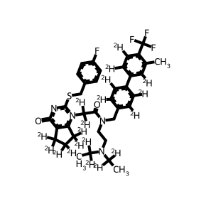 [2H]c1c([2H])c(-c2c([2H])c([2H])c(C(F)(F)F)c(C)c2[2H])c([2H])c([2H])c1CN(CCN(C([2H])([2H])C)C([2H])([2H])C)C(=O)C([2H])([2H])n1c(SCc2ccc(F)cc2)nc(=O)c2c1C([2H])([2H])C([2H])([2H])C2([2H])[2H]